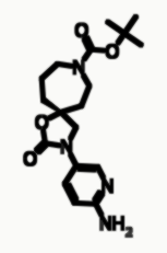 CC(C)(C)OC(=O)N1CCC[C@@]2(CC1)CN(c1ccc(N)nc1)C(=O)O2